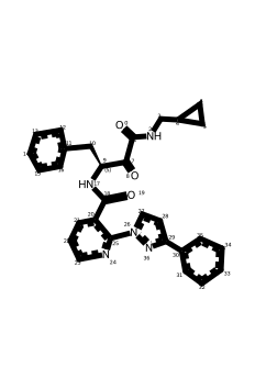 O=C(NCC1CC1)C(=O)[C@H](Cc1ccccc1)NC(=O)c1cccnc1-n1ccc(-c2ccccc2)n1